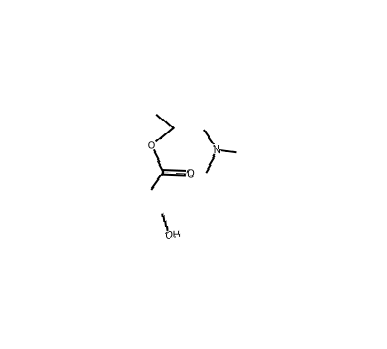 CCOC(C)=O.CN(C)C.CO